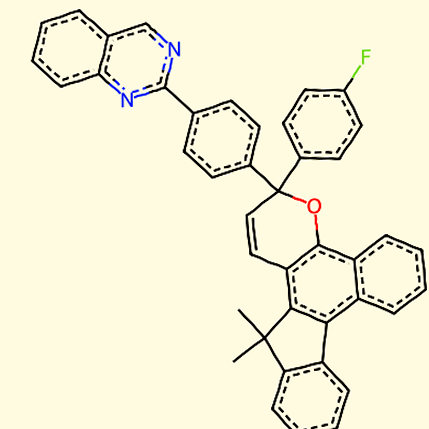 CC1(C)c2ccccc2-c2c1c1c(c3ccccc23)OC(c2ccc(F)cc2)(c2ccc(-c3ncc4ccccc4n3)cc2)C=C1